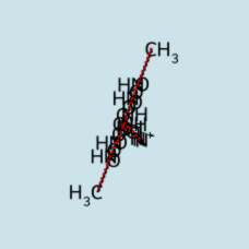 CCCCCCCCCCCCCCCC(=O)NCCOCCNC(=O)CCOCCNC(=O)CC[C@H](NC(=O)CCOCCN=[N+]=[N-])C(=O)NCCOCCC(=O)NCCOCCNC(=O)CCCCCCCCCCCCCCC